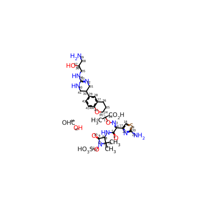 CC(O/N=C(\C(=O)N[C@@H]1C(=O)N(OS(=O)(=O)O)C1(C)C)c1csc(N)n1)(C(=O)O)[C@H]1CCc2cc(C3CN=C(NC[C@@H](O)CN)NC3)ccc2O1.O=CO